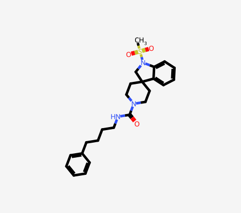 CS(=O)(=O)N1CC2(CCN(C(=O)NCCCCc3ccccc3)CC2)c2ccccc21